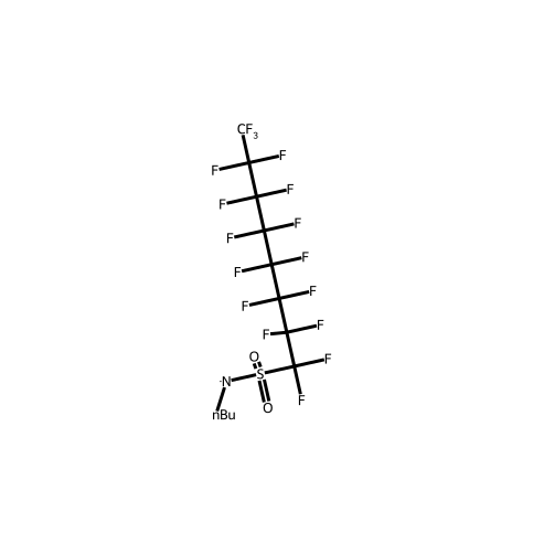 CCCC[N]S(=O)(=O)C(F)(F)C(F)(F)C(F)(F)C(F)(F)C(F)(F)C(F)(F)C(F)(F)C(F)(F)F